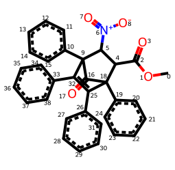 COC(=O)C1C([N+](=O)[O-])C2(c3ccccc3)C(=O)C1(c1ccccc1)C(c1ccccc1)=C2c1ccccc1